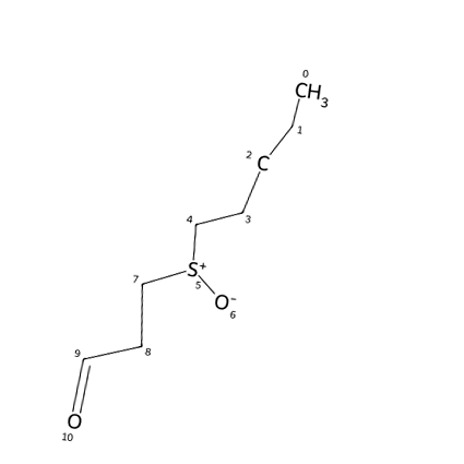 CCCCC[S+]([O-])CCC=O